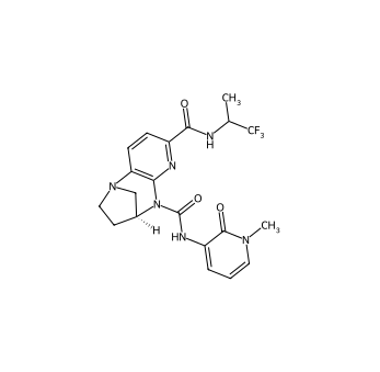 CC(NC(=O)c1ccc2c(n1)N(C(=O)Nc1cccn(C)c1=O)[C@H]1CCN2C1)C(F)(F)F